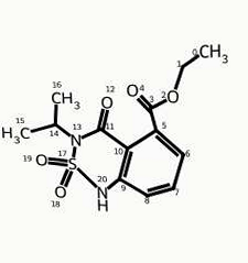 CCOC(=O)c1cccc2c1C(=O)N(C(C)C)S(=O)(=O)N2